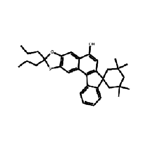 CCCC1(CCC)Oc2cc3c(O)cc4c(c3cc2S1)-c1ccccc1C41CC(C)(C)CC(C)(C)C1